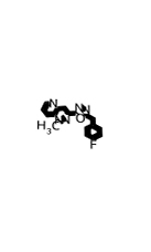 CN1N=C(c2nnc(Cc3ccc(F)cc3)o2)Cc2ncccc21